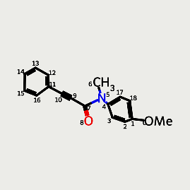 COc1ccc(N(C)C(=O)C#Cc2ccccc2)cc1